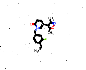 C=Cc1ccc(Cn2cc(-c3c(C)noc3C)ccc2=O)cc1F